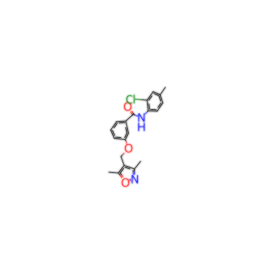 Cc1ccc(NC(=O)c2cccc(OCc3c(C)noc3C)c2)c(Cl)c1